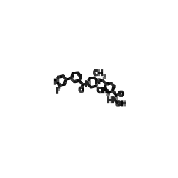 C[C@@H]1CN(C(=O)c2cccc(-c3ccnc(F)c3)c2)C[C@H](C)N1Cc1ccc(C(=O)NO)cc1